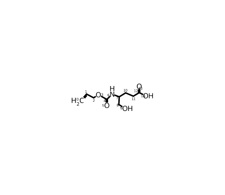 C=CCOC(=O)NC(CO)CCC(=O)O